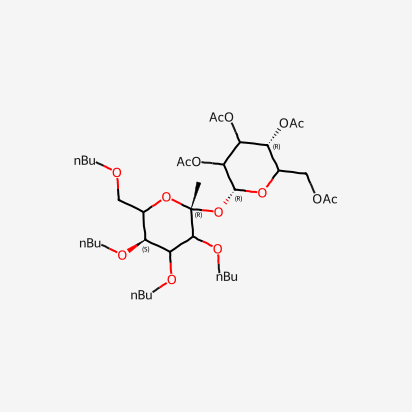 CCCCOCC1O[C@](C)(O[C@H]2OC(COC(C)=O)[C@@H](OC(C)=O)C(OC(C)=O)C2OC(C)=O)C(OCCCC)C(OCCCC)[C@H]1OCCCC